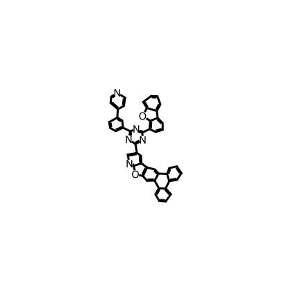 c1cc(-c2ccncc2)cc(-c2nc(-c3cnc4oc5cc6c7ccccc7c7ccccc7c6cc5c4c3)nc(-c3cccc4c3oc3ccccc34)n2)c1